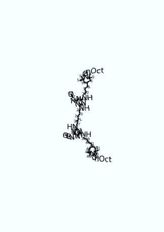 CCCCCCCCON1C(C)(C)CC(CCCCNc2nc(N=C=O)nc(NCCCCCCNc3nc(N=C=O)nc(NCCCCC4CC(C)(C)N(OCCCCCCCC)C(C)(C)C4)n3)n2)CC1(C)C